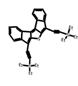 CC[Si](C#CC1=c2sc3c(c2-c2ccccc21)-c1ccccc1C=3C#CS(CC)(CC)CC)(CC)CC